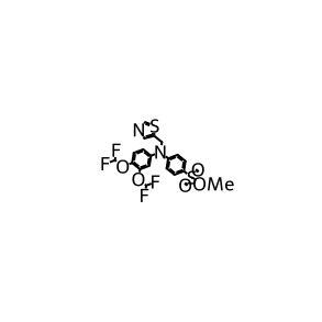 COS(=O)(=O)c1ccc(N(Cc2cncs2)c2ccc(OC(F)F)c(OC(F)F)c2)cc1